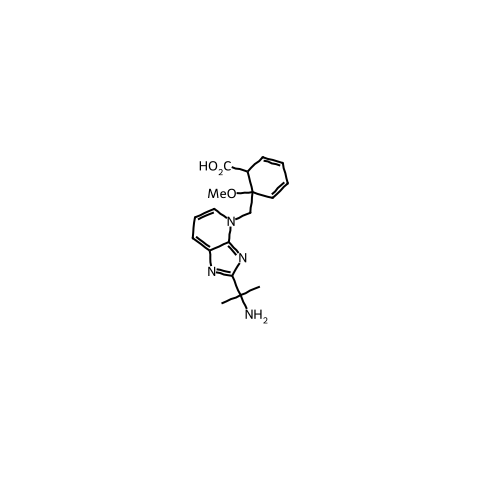 COC1(Cn2cccc3nc(C(C)(C)N)nc2-3)C=CC=CC1C(=O)O